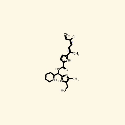 C=C/C(Cl)=C\C=C(/C)c1ccc(C(=O)NC(c2nc(C)c(CO)[nH]2)C2CCCCN2)[nH]1